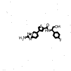 Nc1nc2ccc(-c3csc(C(=O)NC(CO)c4ccc(F)cc4)c3)cn2n1